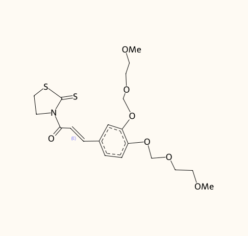 COCCOCOc1ccc(/C=C/C(=O)N2CCSC2=S)cc1OCOCCOC